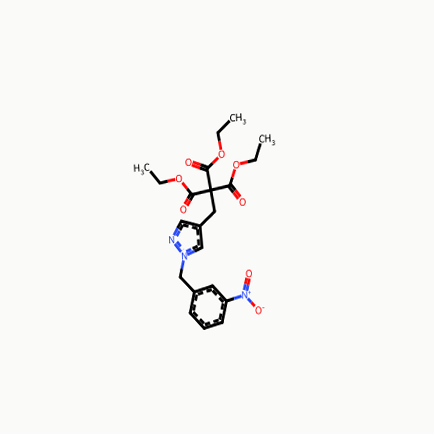 CCOC(=O)C(Cc1cnn(Cc2cccc([N+](=O)[O-])c2)c1)(C(=O)OCC)C(=O)OCC